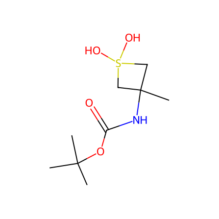 CC1(NC(=O)OC(C)(C)C)CS(O)(O)C1